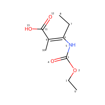 CCOC(=O)NC(CC)=C(C)C(=O)O